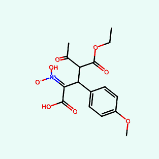 CCOC(=O)C(C(C)=O)C(C(C(=O)O)=[N+]([O-])O)c1ccc(OC)cc1